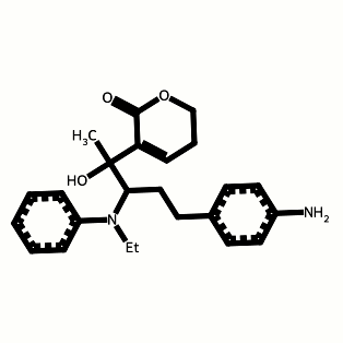 CCN(c1ccccc1)C(CCc1ccc(N)cc1)C(C)(O)C1=CCCOC1=O